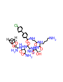 C[C@@H](O)[C@H](NC(=O)[C@H](CCCCN)NC(=O)CCNC(=O)c1ccc(-c2ccc(Cl)cc2)cc1)C(=O)N[C@@H](N)C(=O)NC(CC(N)=O)C(=O)N[C@@H](N)B1OC2C[C@@H]3C[C@@H](C3(C)C)[C@]2(C)O1